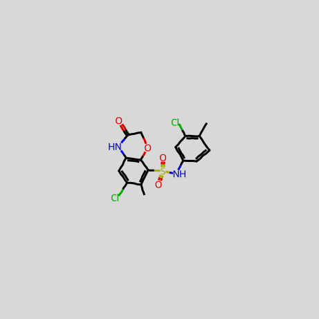 Cc1ccc(NS(=O)(=O)c2c(C)c(Cl)cc3c2OCC(=O)N3)cc1Cl